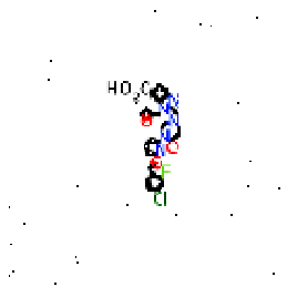 O=C(O)c1ccc2nc(CN3CCC(=O)N(c4cccc(OCc5ccc(Cl)cc5F)n4)CC3)n(CC3CCO3)c2c1